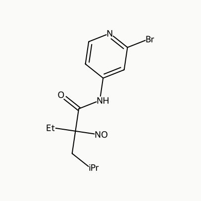 CCC(CC(C)C)(N=O)C(=O)Nc1ccnc(Br)c1